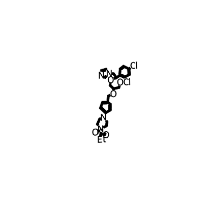 CCS(=O)(=O)N1CCN(c2ccc(COC3COC(Cn4ccnc4)(c4ccc(Cl)cc4Cl)OC3)cc2)CC1